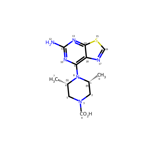 C[C@@H]1CN(C(=O)O)C[C@H](C)N1c1nc(N)nc2scnc12